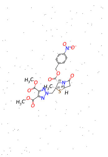 COC(=O)c1nn(C[C@]2(C)S[C@@H]3CC(=O)N3[C@H]2C(=O)OCc2ccc([N+](=O)[O-])cc2)nc1C(=O)OC